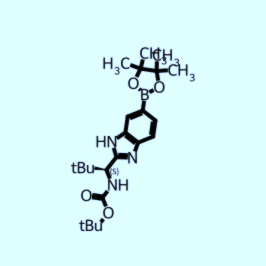 CC(C)(C)OC(=O)N[C@H](c1nc2ccc(B3OC(C)(C)C(C)(C)O3)cc2[nH]1)C(C)(C)C